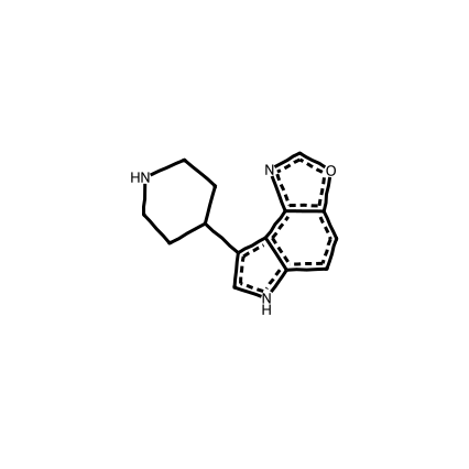 c1nc2c(ccc3[nH]cc(C4CCNCC4)c32)o1